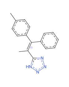 C/C(=C(/c1ccccc1)c1ccc(C)cc1)c1nnn[nH]1